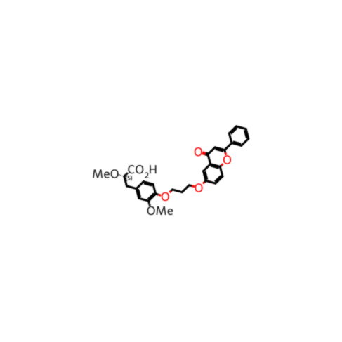 COc1cc(C[C@H](OC)C(=O)O)ccc1OCCCOc1ccc2oc(-c3ccccc3)cc(=O)c2c1